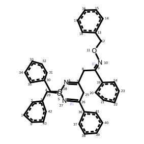 c1ccc(CON=C(C/C(=N\OCc2ccccc2)c2ccccc2)C/C(=N\OCc2ccccc2)c2ccccc2)cc1